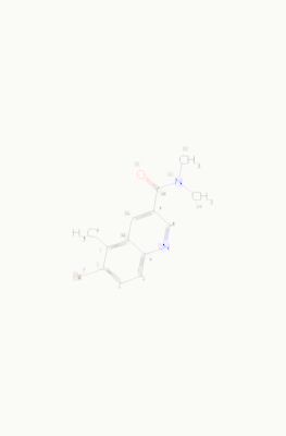 Cc1c(Br)ccc2ncc(C(=O)N(C)C)cc12